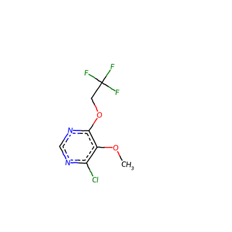 COc1c(Cl)ncnc1OCC(F)(F)F